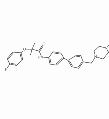 CN1CCN(Cc2ccc(-c3ccc(NC(=O)C(C)(C)Oc4ccc(F)cc4)cc3)cc2)CC1